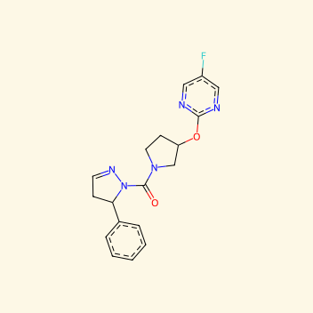 O=C(N1CCC(Oc2ncc(F)cn2)C1)N1N=CCC1c1ccccc1